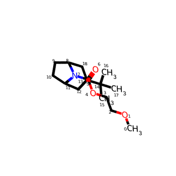 COCCOC(=O)N1C2CCC1CC(C(C)(C)C)C2